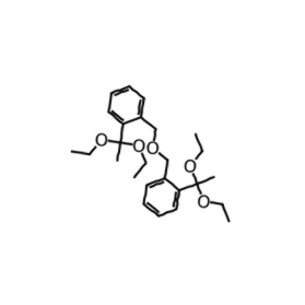 CCOC(C)(OCC)c1ccccc1COCc1ccccc1C(C)(OCC)OCC